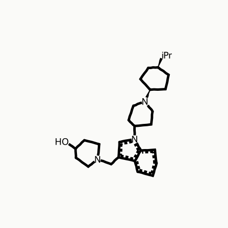 CC(C)[C@H]1CC[C@@H](N2CCC(n3cc(CN4CCC(O)CC4)c4ccccc43)CC2)CC1